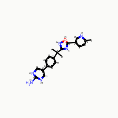 Cc1ccc(-c2nc(C(C)(C)c3ccc(-c4cnc(N)nc4)cc3)no2)cn1